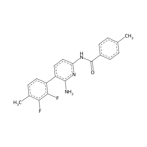 Cc1ccc(C(=O)Nc2ccc(-c3ccc(C)c(F)c3F)c(N)n2)cc1